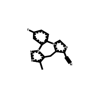 Cc1nnn2c1Cc1c(C#N)ncn1-c1ccc(F)cc1-2